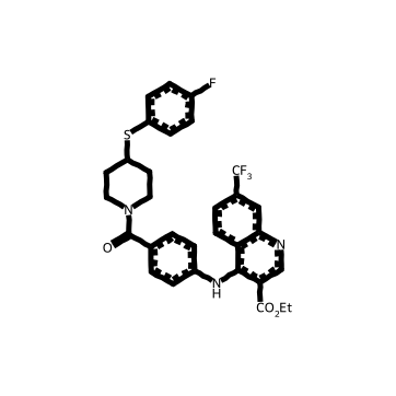 CCOC(=O)c1cnc2cc(C(F)(F)F)ccc2c1Nc1ccc(C(=O)N2CCC(Sc3ccc(F)cc3)CC2)cc1